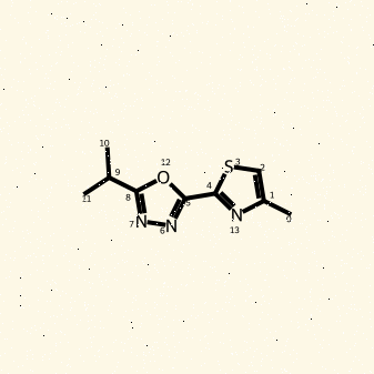 Cc1csc(-c2nnc(C(C)C)o2)n1